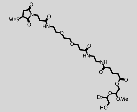 CCC(CO)OC(COC(=O)CCCC(=O)NCCNC(=O)CCOCCOCCNC(=O)CCN1C(=O)CC(SC)C1=O)OC